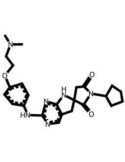 CN(C)CCOc1ccc(Nc2ncc3c(n2)NC2(CC(=O)N(C4CCCC4)C2=O)C3)cc1